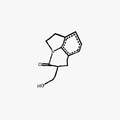 O=C1C(CO)Cc2cccc3c2N1CC3